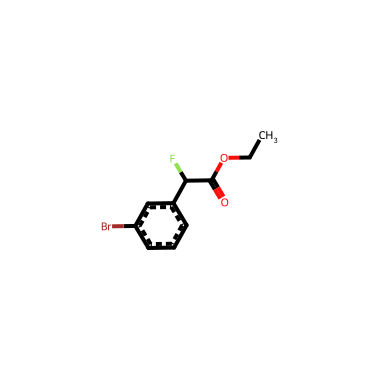 CCOC(=O)C(F)c1cccc(Br)c1